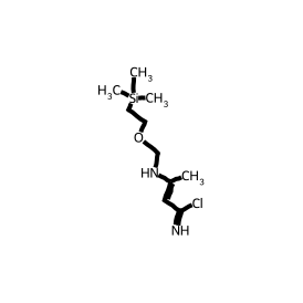 C/C(=C\C(=N)Cl)NCOCC[Si](C)(C)C